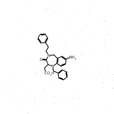 Nc1ccc2c(c1)CN(CCc1ccccc1)C(=O)C(CC(=O)O)N2Cc1ccccc1